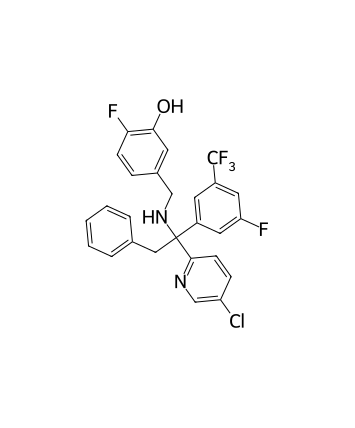 Oc1cc(CNC(Cc2ccccc2)(c2cc(F)cc(C(F)(F)F)c2)c2ccc(Cl)cn2)ccc1F